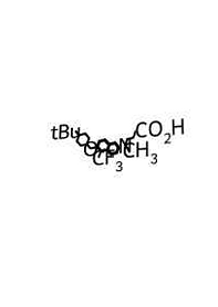 CN(CCCC(=O)O)c1ccc2c(C(F)(F)F)c(OC3CCC(C(C)(C)C)CC3)ccc2c1